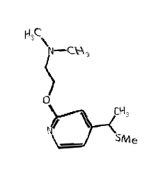 CSC(C)c1ccnc(OCCN(C)C)c1